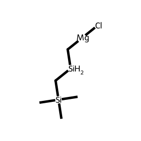 C[Si](C)(C)C[SiH2][CH2][Mg][Cl]